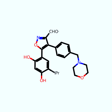 CC(C)c1cc(-c2onc([C]=O)c2-c2ccc(CN3CCOCC3)cc2)c(O)cc1O